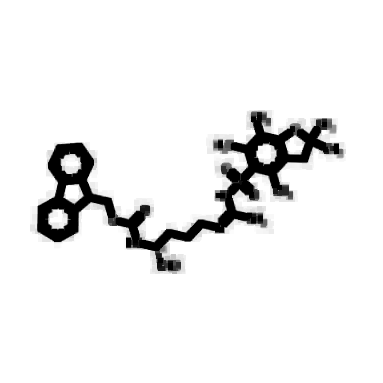 Cc1c(C)c(S(=O)(=O)NC(N)=NCCC[C@H](C=O)NC(=O)OCC2c3ccccc3-c3ccccc32)c(C)c2c1OC(C)(C)C2